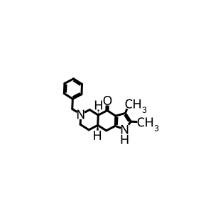 Cc1[nH]c2c(c1C)C(=O)[C@@H]1CN(Cc3ccccc3)CC[C@H]1C2